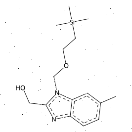 Cc1ccc2nc(CO)n(COCC[Si](C)(C)C)c2c1